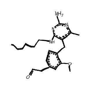 CCCCCNc1nc(N)nc(C)c1Cc1ccc(CC=O)cc1OC